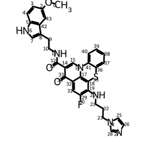 COc1ccc2[nH]cc(CCNC(=O)c3cn4c5c(c(NCCCn6ccnc6)c(F)cc5c3=O)Sc3ccccc3-4)c2c1